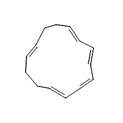 C1=C\C=C\CC/C=C/CC/C=C/C=C/1